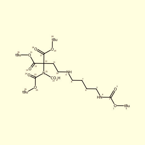 CC(C)(C)OC(=O)NCCCCNCCC(C(=O)OC(C)(C)C)(C(=O)OC(C)(C)C)N(C(=O)O)C(=O)OC(C)(C)C